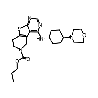 CCCOC(=O)N1CCc2sc3ncnc(N[C@H]4CC[C@H](N5CCOCC5)CC4)c3c2C1